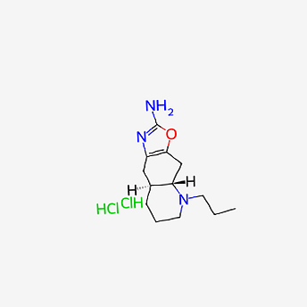 CCCN1CCC[C@H]2Cc3nc(N)oc3C[C@@H]21.Cl.Cl